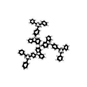 c1ccc(-c2nc(-c3ccccc3)nc(-c3ccc(-n4c5ccccc5c5cc(N(c6ccc7c(c6)c6ccccc6n7-c6ccc(-c7nc(-c8ccccc8)nc(-c8ccccc8)n7)cc6)c6ccc7c(c6)c6ccccc6n7-c6ccc(-c7nc(-c8ccccc8)nc(-c8ccccc8)n7)cc6)ccc54)cc3)n2)cc1